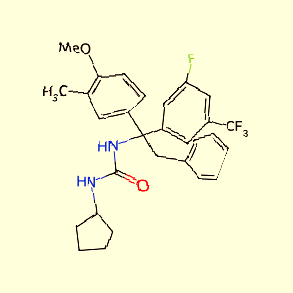 COc1ccc(C(Cc2ccccc2)(NC(=O)NC2CCCC2)c2cc(F)cc(C(F)(F)F)c2)cc1C